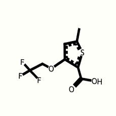 Cc1cc(OCC(F)(F)F)c(C(=O)O)s1